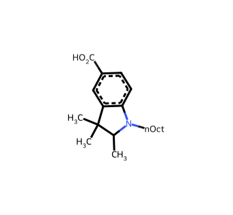 CCCCCCCCN1c2ccc(C(=O)O)cc2C(C)(C)C1C